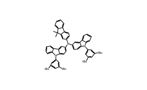 CC(C)(C)c1cc(-n2c3ccccc3c3cc(N(c4ccc5c(c4)C(C)(C)c4ccccc4-5)c4ccc5c(c4)c4ccccc4n5-c4cc(C(C)(C)C)cc(C(C)(C)C)c4)ccc32)cc(C(C)(C)C)c1